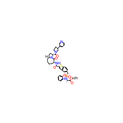 CCCOC(=O)[C@H](C)NP(=O)(Cc1ccc2sc(C(=O)N[C@H]3CCCC[C@H]4CC[C@@H](C(=O)N5CCC(c6cccnc6)C5)N4C3=O)cc2c1)Oc1ccccc1